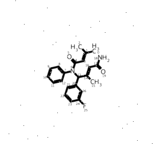 CC(C)=CC(=O)N(c1ccccc1)C(C(C)=CC(N)=O)c1cccc(F)c1